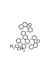 CC1(C)c2ccccc2-c2c(-c3c4cccc(-c5cccc6oc7ccc8ccccc8c7c56)c4cc4c(-c5cccc6oc7ccc8ccccc8c7c56)cccc34)cccc21